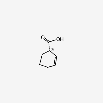 O=C(O)[C@@H]1C=CCCC1